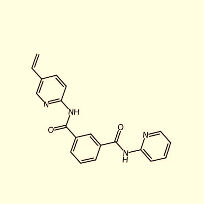 C=Cc1ccc(NC(=O)c2cccc(C(=O)Nc3ccccn3)c2)nc1